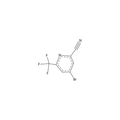 N#Cc1cc(Br)cc(C(F)(F)F)n1